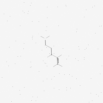 CC(C(=O)O)=C(C)C(O)CCN(C)C